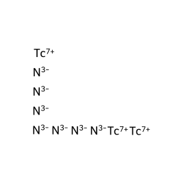 [N-3].[N-3].[N-3].[N-3].[N-3].[N-3].[N-3].[Tc+7].[Tc+7].[Tc+7]